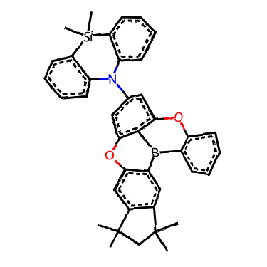 CC1(C)CC(C)(C)c2cc3c(cc21)Oc1cc(N2c4ccccc4[Si](C)(C)c4ccccc42)cc2c1B3c1ccccc1O2